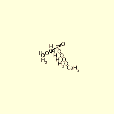 O.O.O.O.O.O.O=BO.[CaH2]